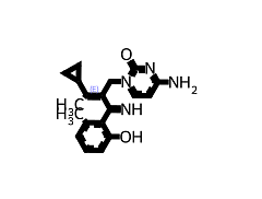 C/C(=C(/Cn1ccc(N)nc1=O)C(=N)c1c(C)cccc1O)C1CC1